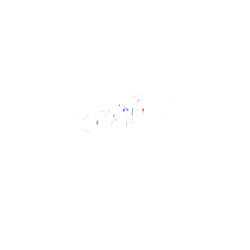 CCCCOC(=O)N[N]C(=O)Oc1ccccc1